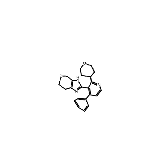 c1ccc(-c2ccnc(C3CCOCC3)c2-c2nc3c([nH]2)COCC3)cc1